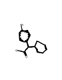 CCCc1ccc(C(C(=O)Cl)C2CCCCC2)cc1